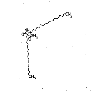 CCCCCCCCCCCCCCCCCCC(CCCCCCCCCCCCCCCCCC)(C(N)=O)C(N)=O